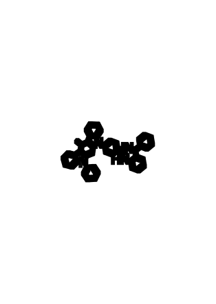 CC1c2c(n(-c3ccc(CNc4ccccc4C(=N)c4ccccc4)cc3)c3ccccc23)C=C2C1c1ccccc1N2c1ccccc1